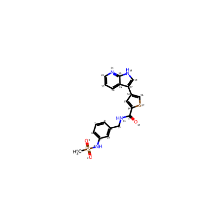 CS(=O)(=O)Nc1cccc(CNC(=O)c2cc(-c3c[nH]c4ncccc34)cs2)c1